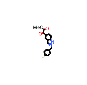 COC(=O)C(=O)c1ccc2nn(Cc3ccc(F)cc3)cc2c1